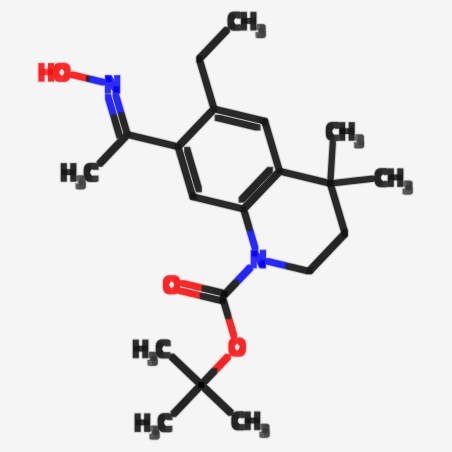 CCc1cc2c(cc1C(C)=NO)N(C(=O)OC(C)(C)C)CCC2(C)C